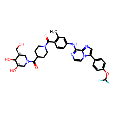 Cc1cc(Nc2nccn3c(-c4ccc(OC(F)F)cc4)cnc23)ccc1C(=O)N1CCC(C(=O)N2C[C@H](CO)C(O)[C@H](O)C2)CC1